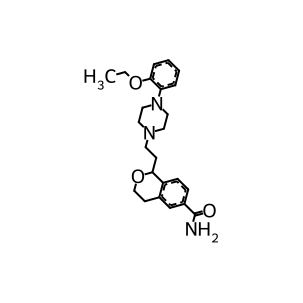 CCOc1ccccc1N1CCN(CCC2OCCc3cc(C(N)=O)ccc32)CC1